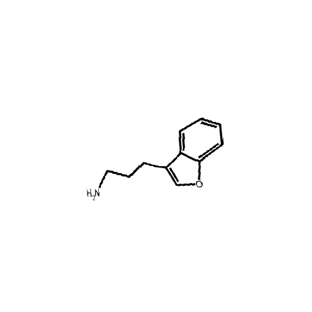 NCCCc1coc2ccccc12